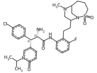 CC(C)n1cc([C@H](c2ccc(Cl)cc2)[C@H](N)C(=O)Nc2cccc(F)c2CCC2CN(C)C3CCCS(=O)(=O)N2C3)ccc1=O